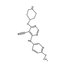 CSc1ccc(Nc2ncnc(OC3CCNCC3)c2C#N)cn1